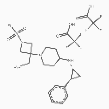 CCS(=O)(=O)N1CC(CC(=O)O)(N2CCC(N[C@@H]3C[C@H]3c3ccccc3)CC2)C1.O=C(O)C(F)(F)F.O=C(O)C(F)(F)F